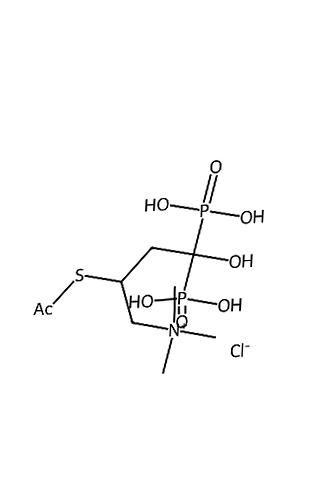 CC(=O)SC(CC(O)(P(=O)(O)O)P(=O)(O)O)C[N+](C)(C)C.[Cl-]